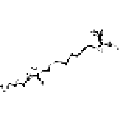 NN=NC(=S)NCCCCCCNC(N)=S